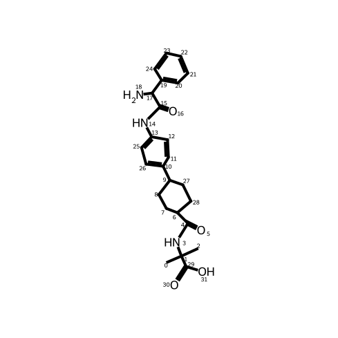 CC(C)(NC(=O)C1CCC(c2ccc(NC(=O)C(N)c3ccccc3)cc2)CC1)C(=O)O